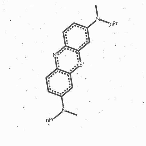 CCCN(C)c1ccc2nc3ccc(N(C)CCC)cc3[s+]c2c1